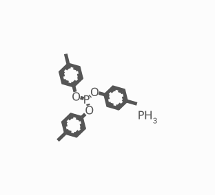 Cc1ccc(OP(Oc2ccc(C)cc2)Oc2ccc(C)cc2)cc1.P